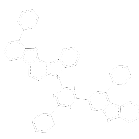 c1ccc(-c2nc(-c3cc(-c4ccccc4)c4c(c3)oc3ccccc34)nc(-n3c4ccccc4c4c5sc6c(-c7ccccc7)cccc6c5ccc43)n2)cc1